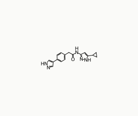 O=C(Cc1ccc(-c2cn[nH]c2)cc1)Nc1cc(C2CC2)[nH]n1